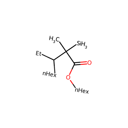 CCCCCCOC(=O)C(C)([SiH3])C(CC)CCCCCC